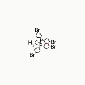 CC(P(c1ccc(Br)cc1)c1ccc(Br)cc1)P(c1ccc(Br)cc1)c1ccc(Br)cc1